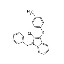 Cc1ccc(Sc2c(Cl)n(Cc3ccccc3)c3ccccc23)cc1